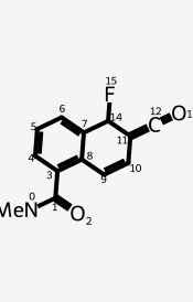 CNC(=O)c1cccc2c1C=CC(=C=O)C2F